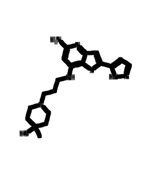 CC1(O)CCN(CCCNc2cc(N)nc3cc(-c4ccn[nH]4)sc23)CC1